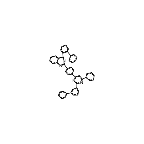 c1ccc(-c2cccc(-c3nc(-c4ccccc4)cc(-c4ccc(-c5nc(-c6ccccc6-c6ccccc6)c6ccccc6n5)cc4)n3)c2)cc1